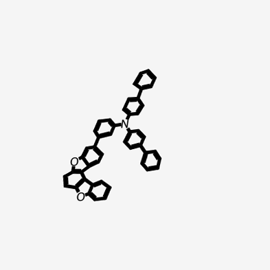 c1ccc(-c2ccc(N(c3ccc(-c4ccccc4)cc3)c3cccc(-c4ccc5c(c4)oc4ccc6oc7ccccc7c6c45)c3)cc2)cc1